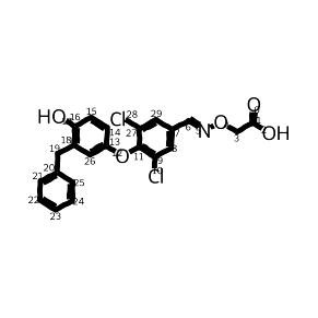 O=C(O)CON=Cc1cc(Cl)c(Oc2ccc(O)c(Cc3ccccc3)c2)c(Cl)c1